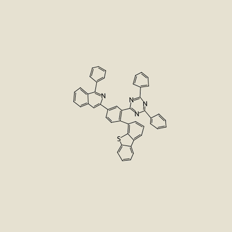 c1ccc(-c2nc(-c3ccccc3)nc(-c3cc(-c4cc5ccccc5c(-c5ccccc5)n4)ccc3-c3cccc4c3sc3ccccc34)n2)cc1